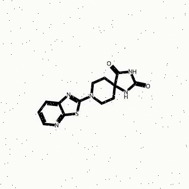 O=C1NC(=O)C2(CCN(c3nc4cccnc4s3)CC2)N1